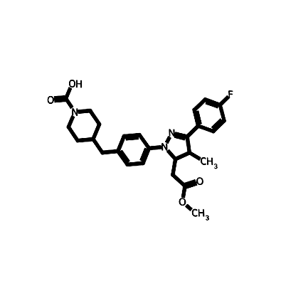 COC(=O)CC1C(C)C(c2ccc(F)cc2)=NN1c1ccc(CC2CCN(C(=O)O)CC2)cc1